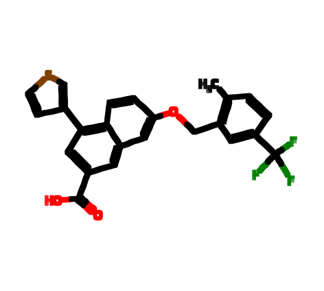 Cc1ccc(C(F)(F)F)cc1COc1ccc2c(-c3ccsc3)cc(C(=O)O)cc2c1